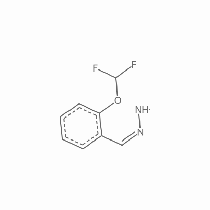 [NH]/N=C\c1ccccc1OC(F)F